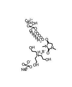 CN1CC(=O)N(C)C1=O.O.O.O.O.O.O=S(=O)([O-])O.O=S(=O)([O-])[O-].OCCN(CCO)CCO.[BH4-].[Cu+2].[Na+].[Na+]